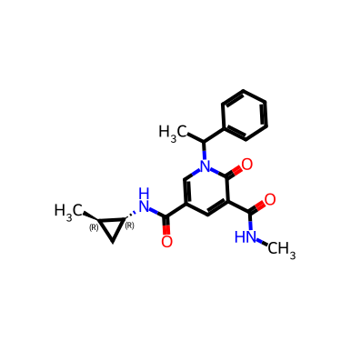 CNC(=O)c1cc(C(=O)N[C@@H]2C[C@H]2C)cn(C(C)c2ccccc2)c1=O